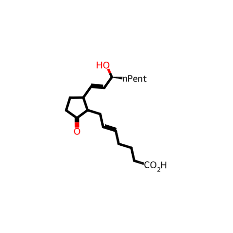 CCCCC[C@H](O)C=CC1CCC(=O)C1CC=CCCCC(=O)O